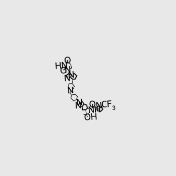 CC(C)(O)c1cc2nn([C@H]3CC[C@H](CN4CCC(c5cccn6c(N7CCC(=O)NC7=O)cnc56)CC4)CC3)cc2cc1NC(=O)c1cccc(C(F)(F)F)n1